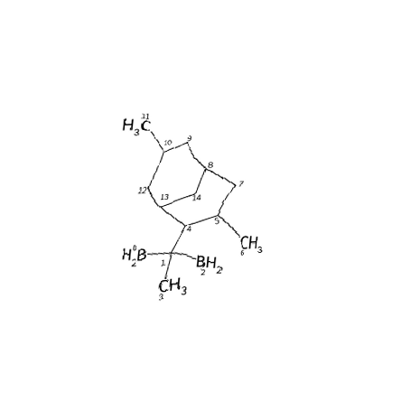 BC(B)(C)C1C(C)CC2CC(C)CC1C2